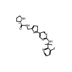 CC(C)(Nc1ncc(C2=NC(CNC(=O)[C@H]3CCCN3)=CC2)cn1)c1ncccc1F